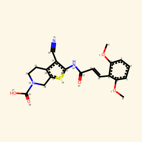 COc1cccc(OC)c1C=CC(=O)Nc1sc2c(c1C#N)CCN(C(=O)O)C2